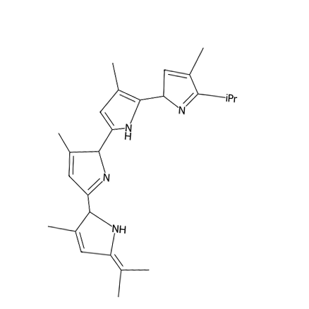 CC1=CC(c2[nH]c(C3N=C(C4NC(=C(C)C)C=C4C)C=C3C)cc2C)N=C1C(C)C